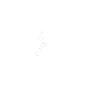 CCNC(=O)Nc1ccc(-c2nc3c(c(N4CCOCC4)n2)CCN(c2ccnc(C)n2)[C@@H]3C)cc1